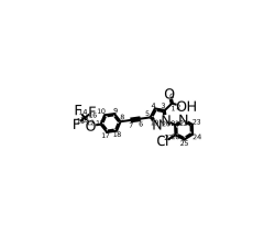 O=C(O)c1cc(C#Cc2ccc(OC(F)(F)F)cc2)nn1-c1ncccc1Cl